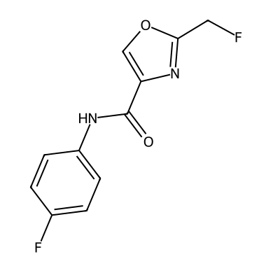 O=C(Nc1ccc(F)cc1)c1coc(CF)n1